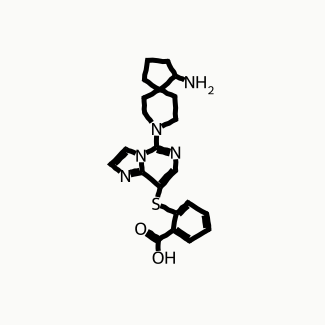 NC1CCCC12CCN(c1ncc(Sc3ccccc3C(=O)O)c3nccn13)CC2